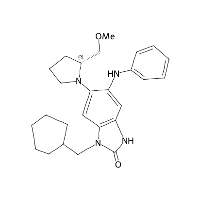 COC[C@H]1CCCN1c1cc2c(cc1Nc1ccccc1)[nH]c(=O)n2CC1CCCCC1